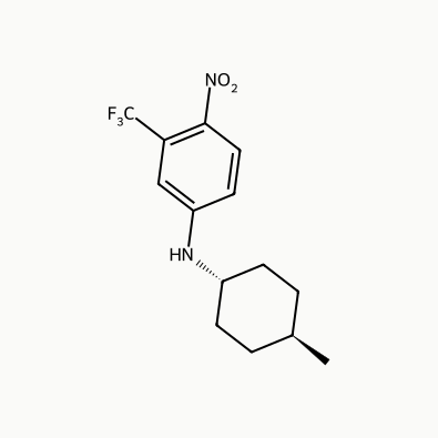 C[C@H]1CC[C@H](Nc2ccc([N+](=O)[O-])c(C(F)(F)F)c2)CC1